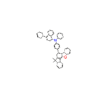 CC1(C)c2cc(-c3ccc(N(c4ccccc4)c4ccc(C5C=CC=CC5)c5ccccc45)cc3)c3c(c2C2C=CC=CC21)OC1C=CC=CC31